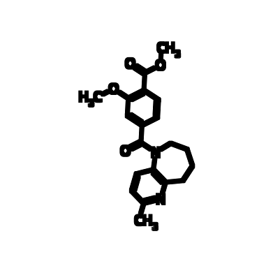 COC(=O)c1ccc(C(=O)N2CCCCc3nc(C)ccc32)cc1OC